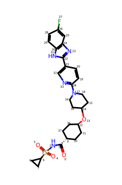 O=C(NS(=O)(=O)C1CC1)[C@H]1CC[C@H](OC2CCN(c3ccc(-c4nc5cc(F)ccc5[nH]4)cn3)CC2)CC1